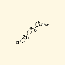 COc1cc(C(=O)NC2CCC(c3nc4cc(Cl)ccc4o3)CC2)ccn1